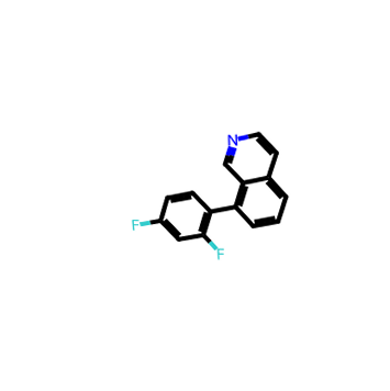 Fc1ccc(-c2cccc3ccncc23)c(F)c1